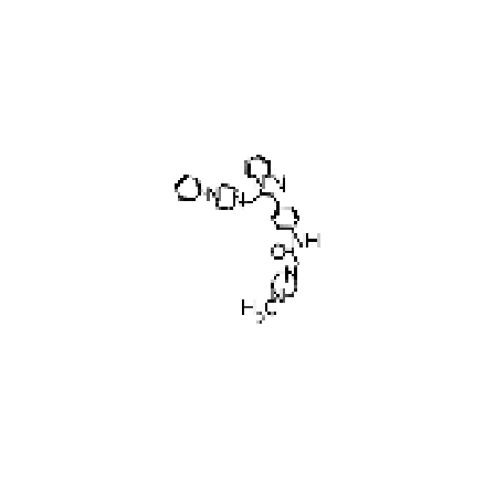 CN1CCN(CC(=O)Nc2ccc(-c3nc4ccccn4c3CN3CCN(c4ccccc4)CC3)cc2)CC1